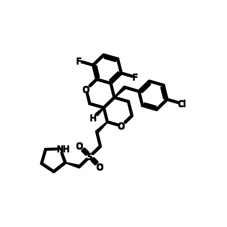 O=S(=O)(CC[C@@H]1OCC[C@@]2(Cc3ccc(Cl)cc3)c3c(F)ccc(F)c3OC[C@@H]12)C[C@H]1CCCN1